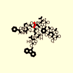 CC[C@H](C)[C@@H]([C@@H](CC(=O)N1CCC[C@H]1[C@H](OC)[C@@H](C)C(=O)N[C@H](C)[C@@H](O)c1ccccc1)OC)N(C)C(=O)[C@@H](NC(=O)[C@H](C(C)C)N(C)C(=O)OCc1ccc(NC(=O)[C@H](C)NC(=O)[C@@H](NC(=O)OCC2c3ccccc3-c3ccccc32)C(C)C)c(O[C@@H]2O[C@H](C(=O)OC)[C@@H](OC(C)=O)[C@H](OC(C)=O)[C@H]2OC(C)=O)c1)C(C)C